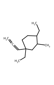 C=C=CC1(CC)CCC(CC)C(C)C1